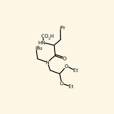 CCOC(CN(CC(C)CC)C(=O)C(CC(C)C)NC(=O)O)OCC